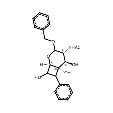 CC(=O)N[C@H]1C(OCc2ccccc2)O[C@@H]2C(O)C(c3ccccc3)[C@]2(O)[C@@H]1O